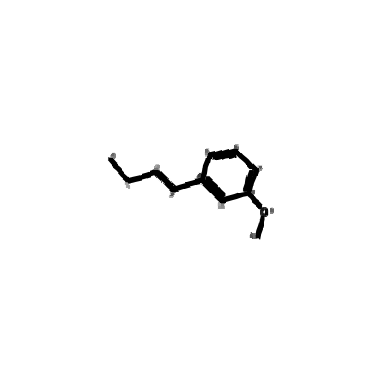 CCCCc1[c]ccc(OC)c1